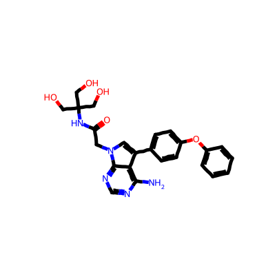 Nc1ncnc2c1c(-c1ccc(Oc3ccccc3)cc1)cn2CC(=O)NC(CO)(CO)CO